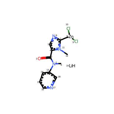 CN(C(=O)c1cn[c]([Zn]([Cl])[Cl])n1C)c1cccnc1.[LiH]